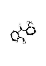 Cc1ccccc1C(=O)c1cccnc1[C]=O